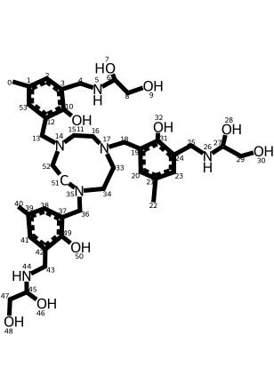 Cc1cc(CNC(O)CO)c(O)c(CN2CCN(Cc3cc(C)cc(CNC(O)CO)c3O)CCN(Cc3cc(C)cc(CNC(O)CO)c3O)CC2)c1